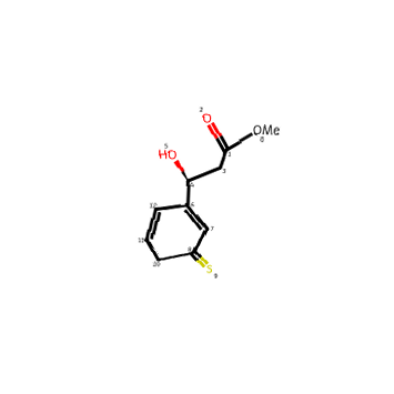 COC(=O)C[C@H](O)C1=CC(=S)CC=C1